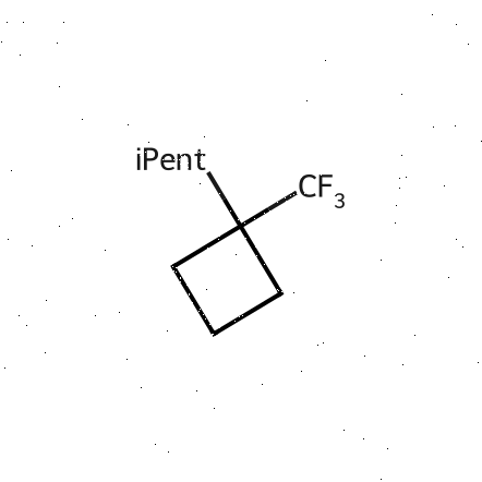 CCCC(C)C1(C(F)(F)F)CCC1